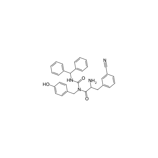 N#Cc1cccc(CC(N)C(=O)N(Cc2ccc(O)cc2)C(=O)NC(c2ccccc2)c2ccccc2)c1